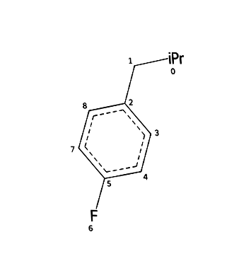 CC(C)Cc1ccc(F)cc1